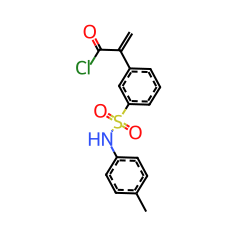 C=C(C(=O)Cl)c1cccc(S(=O)(=O)Nc2ccc(C)cc2)c1